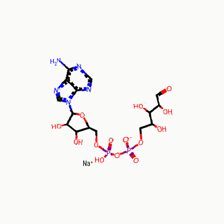 Nc1ncnc2c1ncn2C1OC(COP(=O)(O)OP(=O)([O-])OCC(O)C(O)C(O)C=O)C(O)C1O.[Na+]